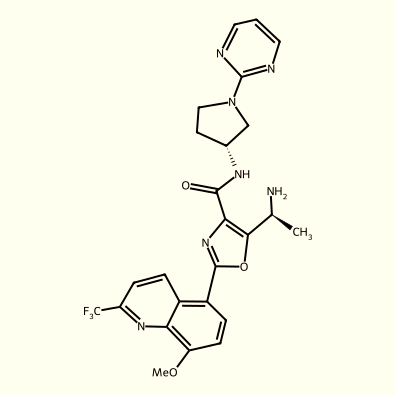 COc1ccc(-c2nc(C(=O)N[C@@H]3CCN(c4ncccn4)C3)c([C@H](C)N)o2)c2ccc(C(F)(F)F)nc12